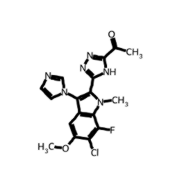 COc1cc2c(-n3ccnc3)c(-c3nnc(C(C)=O)[nH]3)n(C)c2c(F)c1Cl